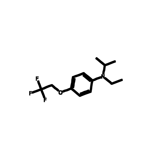 CCN(c1ccc(OCC(F)(F)F)cc1)C(C)C